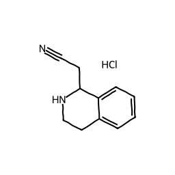 Cl.N#CCC1NCCc2ccccc21